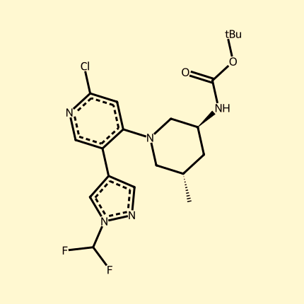 C[C@H]1C[C@H](NC(=O)OC(C)(C)C)CN(c2cc(Cl)ncc2-c2cnn(C(F)F)c2)C1